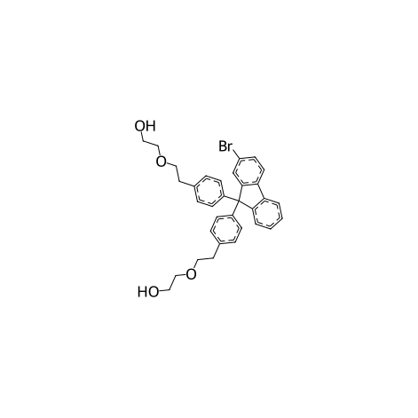 OCCOCCc1ccc(C2(c3ccc(CCOCCO)cc3)c3ccccc3-c3ccc(Br)cc32)cc1